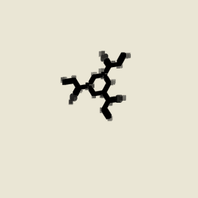 C=CC(=O)C1CN(C(=O)C=C)CN(C(=O)C=C)C1